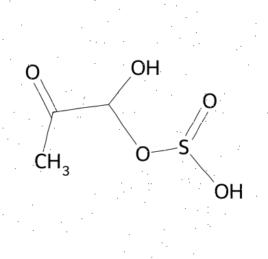 CC(=O)C(O)OS(=O)O